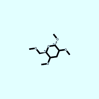 COC[C@H]1O[C@H](OC)C(OC)CC1OC